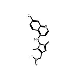 CCN(CC)Cc1cc(C)n(Nc2ccnc3cc(Cl)ccc23)c1C